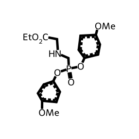 CCOC(=O)CNCP(=O)(Oc1ccc(OC)cc1)Oc1ccc(OC)cc1